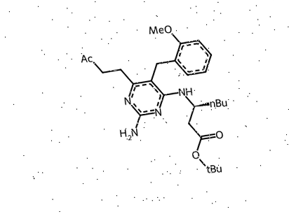 CCCC[C@@H](CC(=O)OC(C)(C)C)Nc1nc(N)nc(CCC(C)=O)c1Cc1ccccc1OC